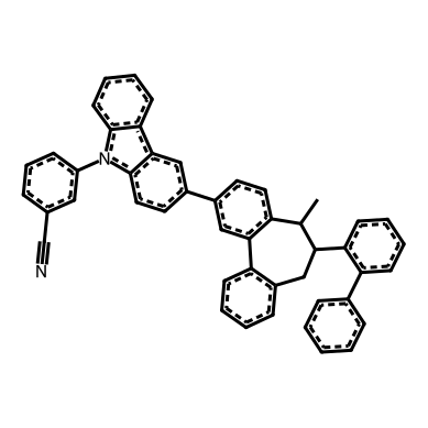 CC1c2ccc(-c3ccc4c(c3)c3ccccc3n4-c3cccc(C#N)c3)cc2-c2ccccc2CC1c1ccccc1-c1ccccc1